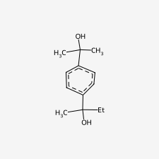 CCC(C)(O)c1ccc(C(C)(C)O)cc1